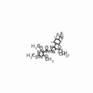 CCC1(CC)Oc2cc(C(F)(F)F)ccc2-c2nc(NC(=O)c3c(OC)nc(SC)nc3OC)sc21